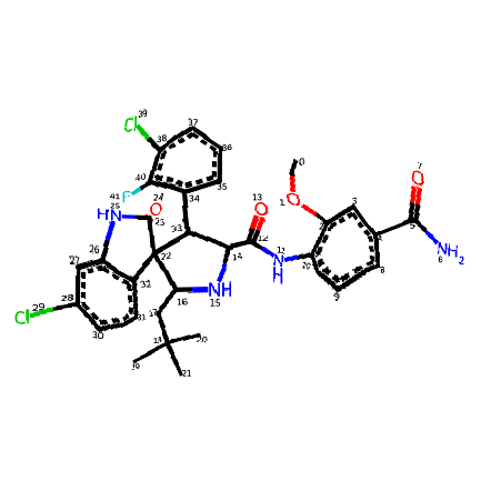 COc1cc(C(N)=O)ccc1NC(=O)C1NC(CC(C)(C)C)C2(C(=O)Nc3cc(Cl)ccc32)C1c1cccc(Cl)c1F